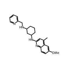 COc1ccc2nc(NC3CCCC(NCc4ccccn4)C3)cc(C)c2c1